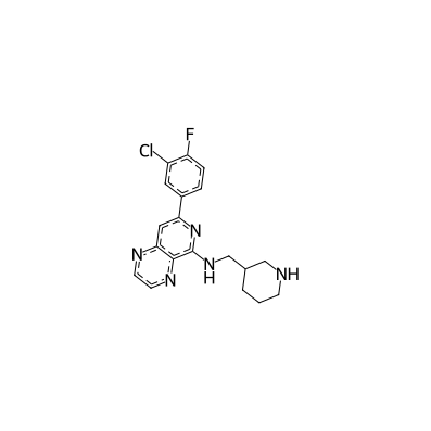 Fc1ccc(-c2cc3nccnc3c(NCC3CCCNC3)n2)cc1Cl